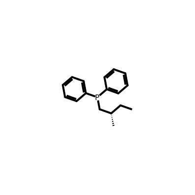 CC[C@H](C)CP(c1ccccc1)c1ccccc1